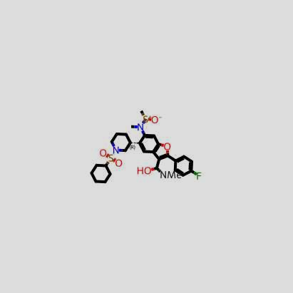 CNC(O)c1c(-c2ccc(F)cc2)oc2cc(N(C)[S+](C)[O-])c([C@H]3CCCN(S(=O)(=O)C4CCCCC4)C3)cc12